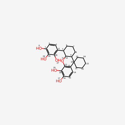 Oc1ccc(C2CCCC3C2Oc2c(ccc(O)c2O)C32CCCCC2)c(O)c1O